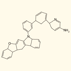 NC1=CCC(C2=CC=CC(c3cccc(N4C5=C(CC6C(=C5)OC5C=CC=CC56)C5C=CC=CC54)c3)C2)N=C1